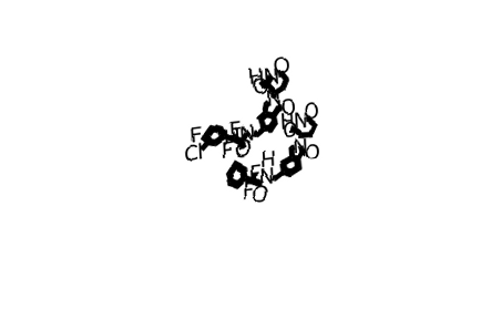 O=C1CCC(N2Cc3cc(CNC(=O)C(F)(F)c4ccc(F)c(Cl)c4)ccc3C2=O)C(=O)N1.O=C1CCC(N2Cc3cc(CNC(=O)C(F)(F)c4ccccc4)ccc3C2=O)C(=O)N1